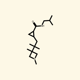 CC(C)CNC(=O)C1CC1CC(C)(C)C1(C)CN(C)C1